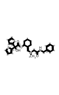 CN(/C=C1\CCCCC1OC(=O)C(O)(c1cccs1)c1cccs1)CC(=O)NCc1ccccc1